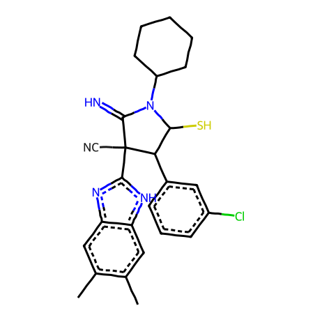 Cc1cc2nc(C3(C#N)C(=N)N(C4CCCCC4)C(S)C3c3cccc(Cl)c3)[nH]c2cc1C